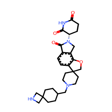 O=C1CC[C@H](N2Cc3c(ccc4c3OCC43CCN(CC4CCC5(CC4)CNC5)CC3)C2=O)C(=O)N1